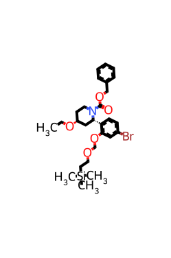 CCO[C@H]1CCN(C(=O)OCc2ccccc2)[C@H](c2ccc(Br)cc2OCOCC[Si](C)(C)C)C1